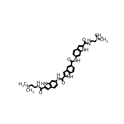 CN(C)CCNC(=O)c1cc2ccc(NC(=O)c3ccc4[nH]c(C(=O)Nc5ccc6cc(C(=O)NCCN(C)C)[nH]c6c5)cc4c3)cc2[nH]1